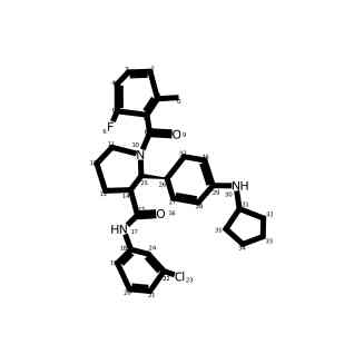 Cc1cccc(F)c1C(=O)N1CCCC(C(=O)Nc2cccc(Cl)c2)C1[C@@H]1C=CC(NC2CCCC2)=CC1